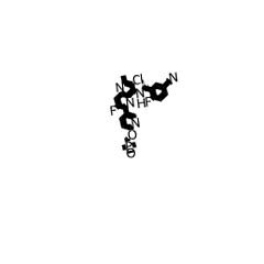 Cc1nc2cc(F)c(-c3ccc(OCP(C)(C)=O)nc3)nc2c(N[C@H](C)c2cc(C#N)ccc2F)c1Cl